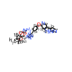 CC(C)(C)C(O[Si](C)(C)C(C)(C)C)[C@@H](Cn1nnc(-c2ccc(Oc3ccc(-c4ccn[nH]4)cn3)cc2)n1)OC(N)=O